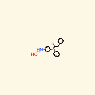 CCC(Cc1ccccc1)=C(c1ccccc1)c1ccc(NCCO)cc1